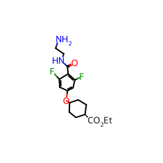 CCOC(=O)[C@H]1CC[C@@H](Oc2cc(F)c(C(=O)NCCN)c(F)c2)CC1